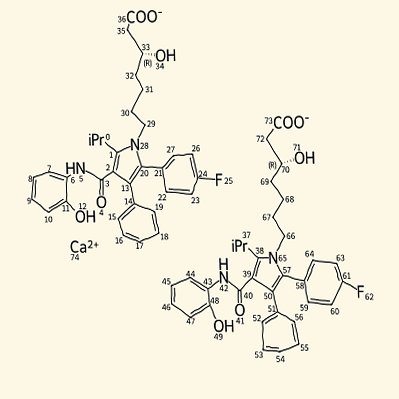 CC(C)c1c(C(=O)Nc2ccccc2O)c(-c2ccccc2)c(-c2ccc(F)cc2)n1CCCC[C@@H](O)CC(=O)[O-].CC(C)c1c(C(=O)Nc2ccccc2O)c(-c2ccccc2)c(-c2ccc(F)cc2)n1CCCC[C@@H](O)CC(=O)[O-].[Ca+2]